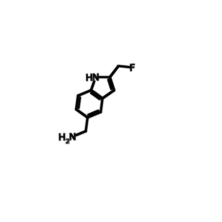 NCc1ccc2[nH]c(CF)cc2c1